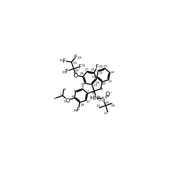 CC(C)Oc1ccc(C(Cc2ccccc2)(N[S+]([O-])C(C)(C)C)c2cc(F)cc(OC(F)(F)C(F)F)c2)cc1F